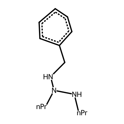 CCCNN(CCC)NCc1ccccc1